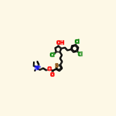 CC[N+](C)(CC)CCCOC(=O)c1ccc(CCCC2C(Cl)CC(O)C2CCc2cc(Cl)cc(Cl)c2)s1